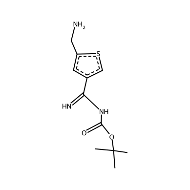 CC(C)(C)OC(=O)NC(=N)c1csc(CN)c1